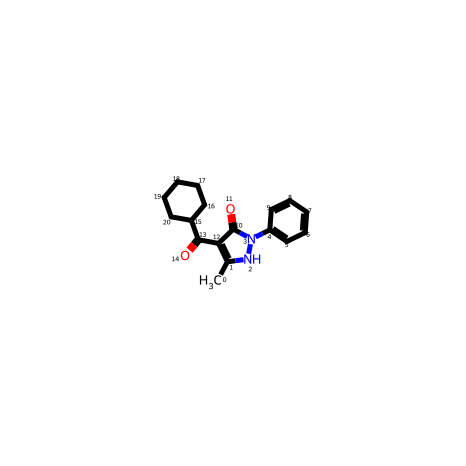 Cc1[nH]n(-c2ccccc2)c(=O)c1C(=O)C1CCCCC1